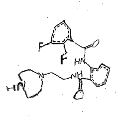 O=C(NCCN1CCNCC1)c1ccccc1NC(=O)c1cccc(F)c1F